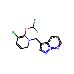 FC1=C(OC(F)F)N(Cc2cnn3ncccc23)CC=C1